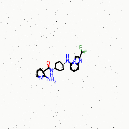 Nc1ncccc1C(=O)N[C@H]1CC[C@@H](Nc2cccc3nc(C(F)F)cn23)CC1